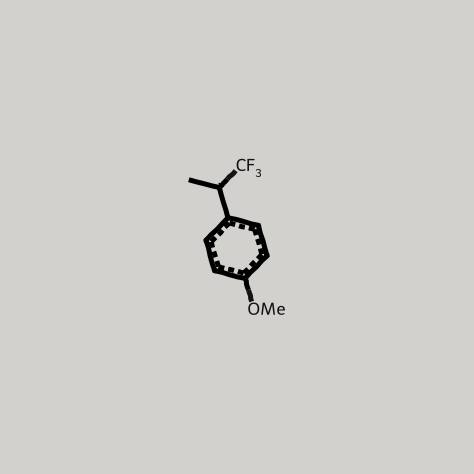 COc1ccc([C](C)C(F)(F)F)cc1